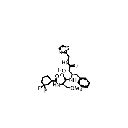 COC[C@@H](NC(=O)C1CCCC(F)(F)C1)C(=O)N[C@H](Cc1ccccc1)[C@H](O)C(=O)NCc1nccs1